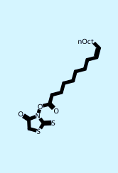 CCCCCCCC/C=C\CCCCCCCC(=O)ON1C(=O)CSC1=S